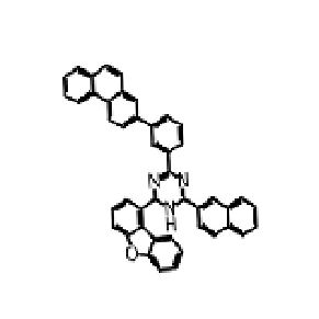 c1cc(C2=NC(c3cccc4oc5ccccc5c34)NC(c3ccc4ccccc4c3)=N2)cc(-c2ccc3c(ccc4ccccc43)c2)c1